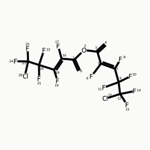 C=C(OC(=C)C(F)=C(F)C(F)(F)C(F)(F)Cl)C(F)=C(F)C(F)(F)C(F)(F)Cl